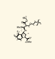 COC(=O)C[C@@H](C)[C@](C)(/N=C(\SC)N(COCC[Si](C)(C)C)C(=O)OC(C)(C)C)c1cccc(C)c1F